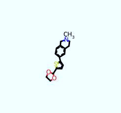 CN1CCc2cc(-c3ccc(C4OCCO4)s3)ccc2C1